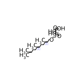 CC(C)=CCC/C(C)=C/CC/C(C)=C/COCCP(=O)(O)CP(=O)(O)O